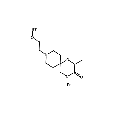 CC(C)OCCN1CCC2(CC1)CN(C(C)C)C(=O)C(C)O2